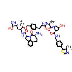 Cc1ncsc1-c1ccc(CNC(=O)[C@@H]2C[C@@H](O)CN2C(=O)[C@@H](NC(=O)CCc2ccc(CO[C@H](C)[C@H](CCC(N)O)NC(=O)[C@@H]3Cc4cccc5c4N3C(=O)[C@@H](N)CC5)cc2)C(C)(C)C)cc1